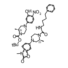 C[C@H]1CN(c2ccc([N+](=O)[O-])c(O)c2)CCN1C(=O)OC(C)(C)C.C[C@H]1CN(c2ccc3c(c2)oc(=O)n3C)CCN1C(=O)NCCCCc1ccccc1